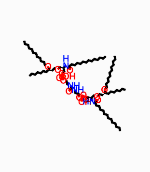 CCCCCCCCCCCCCC(=O)N[C@H](COCC[C@@H](CCCCCCC)OCCCCCCCCCCCC)COP(=O)(O)OCCNC(=O)NCCOP(=O)(O)OC[C@@H](COCC[C@@H](CCCCCCC)OCCCCCCCCCCCC)NC(=O)CCCCCCCCCCCCC